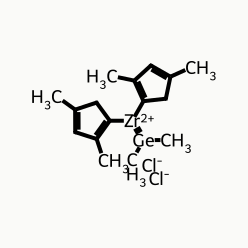 CC1=CC(C)=[C]([Zr+2]([C]2=C(C)C=C(C)C2)=[Ge]([CH3])[CH3])C1.[Cl-].[Cl-]